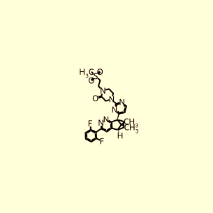 CC1(C)[C@H]2CC[C@@]1(c1ccnc(N3CCN(CCS(C)(=O)=O)C(=O)C3)n1)c1nnc(-c3c(F)cccc3F)cc12